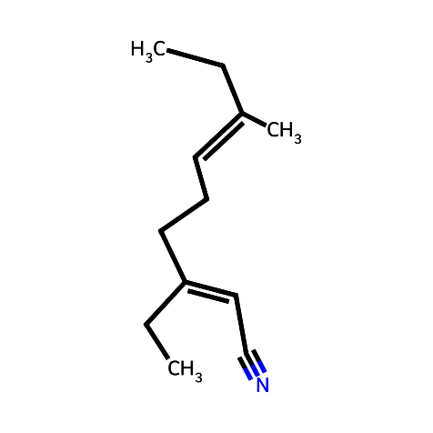 CCC(C)=CCCC(=CC#N)CC